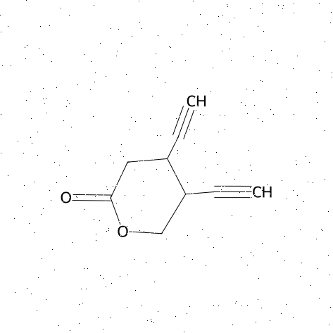 C#CC1COC(=O)CC1C#C